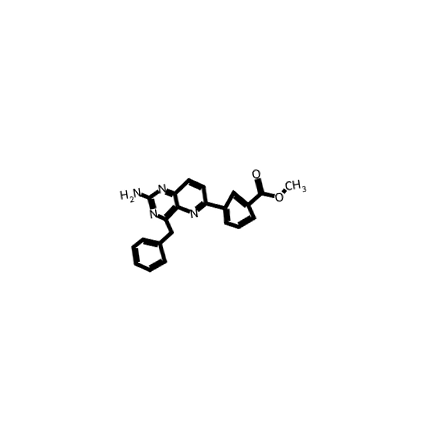 COC(=O)c1cccc(-c2ccc3nc(N)nc(Cc4ccccc4)c3n2)c1